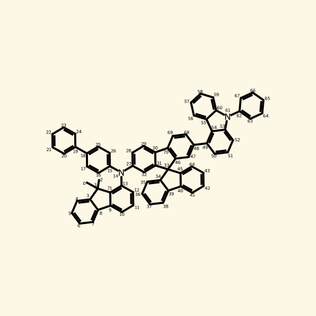 CC1(C)c2ccccc2-c2cccc(N(c3ccc(-c4ccccc4)cc3)c3ccc4c(c3)C3(c5ccccc5-c5ccccc53)c3cc(-c5cccc6c5c5ccccc5n6-c5ccccc5)ccc3-4)c21